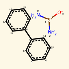 N[S+](N)[O-].c1ccc(-c2ccccc2)cc1